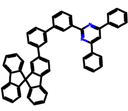 c1ccc(-c2cc(-c3ccccc3)nc(-c3cccc(-c4cccc(-c5ccc6c(c5)C5(c7ccccc7-c7ccccc75)c5ccccc5-6)c4)c3)n2)cc1